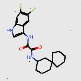 O=C(Nc1c[nH]c2cc(F)c(F)cc12)C(=O)NC1CCCC2(CCCCC2)C1